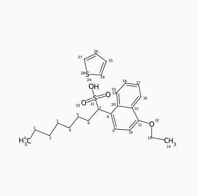 CCCCCCCC(c1ccc(OCC)c2ccccc12)S(=O)(=O)O.c1ccsc1